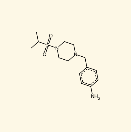 CC(C)S(=O)(=O)N1CCN(Cc2ccc(N)cc2)CC1